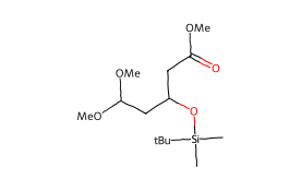 COC(=O)CC(CC(OC)OC)O[Si](C)(C)C(C)(C)C